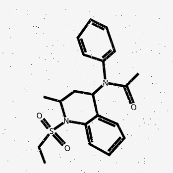 CCS(=O)(=O)N1c2ccccc2C(N(C(C)=O)c2ccccc2)CC1C